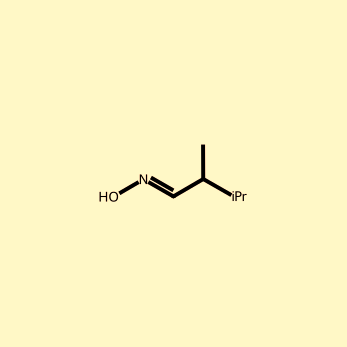 CC(C)C(C)C=NO